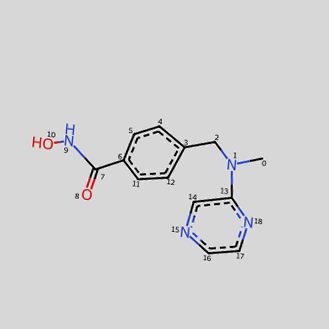 CN(Cc1ccc(C(=O)NO)cc1)c1cnccn1